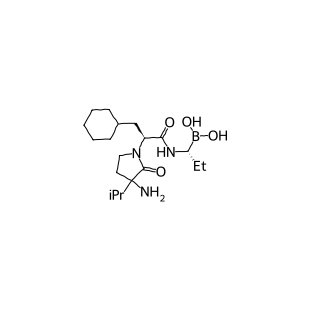 CC[C@H](NC(=O)[C@H](CC1CCCCC1)N1CCC(N)(C(C)C)C1=O)B(O)O